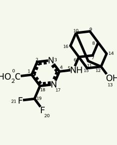 O=C(O)c1cnc(NC23CC4CC(CC(O)(C4)C2)C3)nc1C(F)F